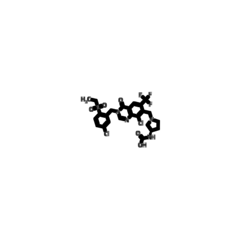 CCS(=O)(=O)c1ccc(Cl)cc1Cn1cnc2c(Cl)c(CN3CC[C@@H](NC(=O)O)C3)c(C(F)(F)F)cc2c1=O